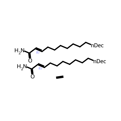 C=C.CCCCCCCCCCCCCCCCC/C=C/C(N)=O.CCCCCCCCCCCCCCCCC/C=C/C(N)=O